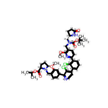 COc1cc(-c2nccc(-c3cccc(-c4ccc(CN(C[C@@H]5CCC(=O)N5)C(=O)OC(C)(C)C)c(OC)n4)c3Cl)c2Cl)ccc1CN1CCCC1C(=O)OC(C)C